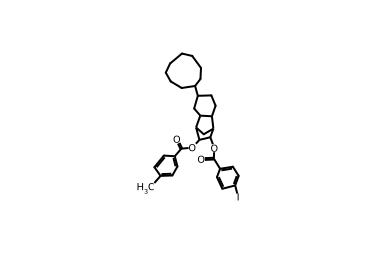 Cc1ccc(C(=O)OC2C3CC(C4CCC(C5CCCCCCCC5)CC43)C2OC(=O)c2ccc(I)cc2)cc1